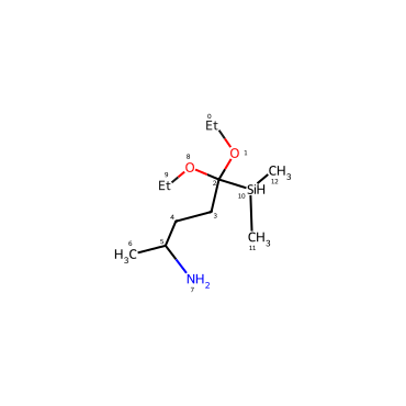 CCOC(CCC(C)N)(OCC)[SiH](C)C